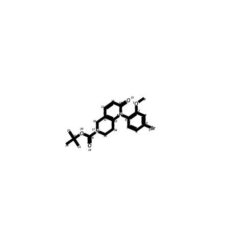 COc1cc(Br)ccc1-n1c2c(ccc1=O)CN(C(=O)OC(C)(C)C)CC2